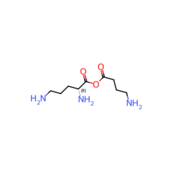 NCCCC(=O)OC(=O)[C@H](N)CCCN